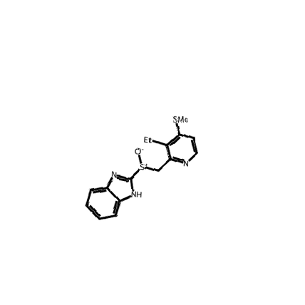 CCc1c(SC)ccnc1C[S+]([O-])c1nc2ccccc2[nH]1